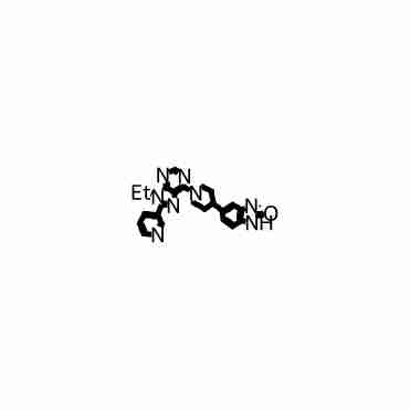 CCn1c(-c2cccnc2)nc2c(N3CCC(c4ccc5c(c4)[N]C(=O)N5)CC3)ncnc21